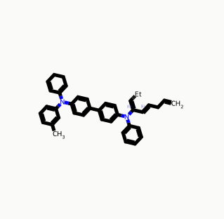 C=CC/C=C/C(=C\CC)N(c1ccccc1)c1ccc(-c2ccc(N(C3=CCCC=C3)c3cccc(C)c3)cc2)cc1